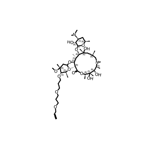 C=CCOCCCOCCCO[C@H]1[C@H](C)OC(O[C@H]2[C@H](C)[C@@H](O[C@@H]3O[C@H](C)C[C@H](N(C)C)[C@H]3O)[C@](C)(O)C[C@@H](C)CN(C)[C@@H](C)[C@@H](O)[C@](C)(O)[C@@H](C)OC(=O)[C@@H]2C)C[C@@]1(C)OC